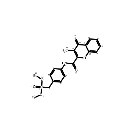 CCOP(=O)(Cc1ccc(NC(=O)c2oc3ccccc3c(=O)c2C)cc1)OCC